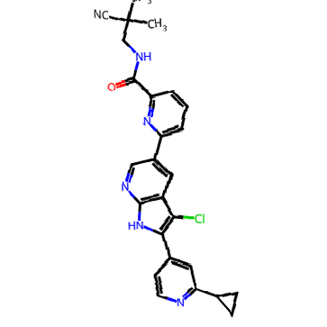 CC(C)(C#N)CNC(=O)c1cccc(-c2cnc3[nH]c(-c4ccnc(C5CC5)c4)c(Cl)c3c2)n1